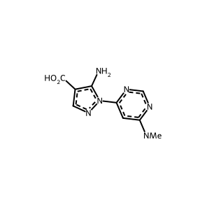 CNc1cc(-n2ncc(C(=O)O)c2N)ncn1